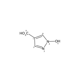 O=C(O)c1cnn(O)c1